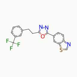 FC(F)(F)c1cccc(CCc2nnc(-c3ccc4ncsc4c3)o2)c1